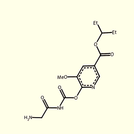 CCC(CC)OC(=O)c1cnc(OC(=O)NC(=O)CN)c(OC)c1